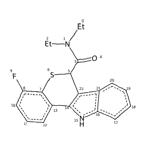 CCN(CC)C(=O)C1Sc2c(F)cccc2-c2[nH]c3ccccc3c21